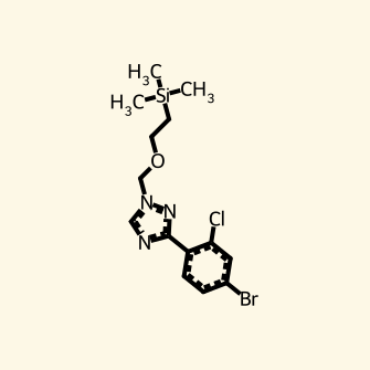 C[Si](C)(C)CCOCn1cnc(-c2ccc(Br)cc2Cl)n1